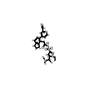 CCn1nc(S(=O)(=O)NC(=O)Cc2c(-c3ccnc(C#N)c3)ccc3c2CCC3)cc1C(C)N(C)C